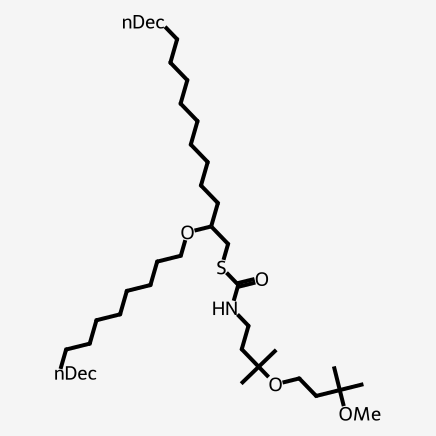 CCCCCCCCCCCCCCCCCCCC(CSC(=O)NCCC(C)(C)OCCC(C)(C)OC)OCCCCCCCCCCCCCCCCCC